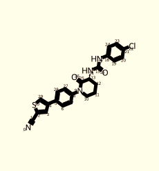 N#Cc1cc(-c2ccc(N3CCC[C@@H](NC(=O)Nc4ccc(Cl)cc4)C3=O)cc2)cs1